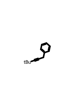 CC(C)(C)C#CCc1ccccc1